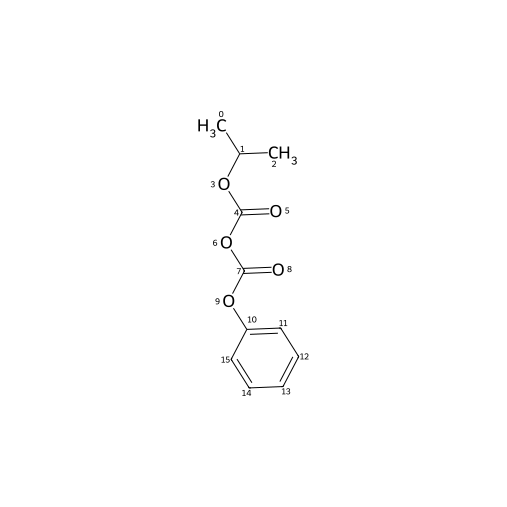 CC(C)OC(=O)OC(=O)Oc1ccccc1